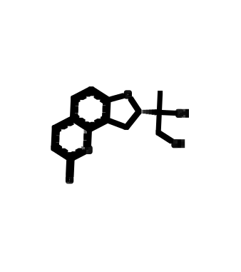 CC(O)(CO)[C@@H]1Cc2c(ccc3ccc(=O)oc23)O1